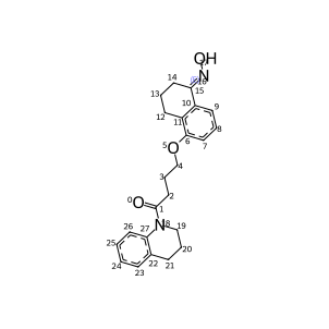 O=C(CCCOc1cccc2c1CCC/C2=N\O)N1CCCc2ccccc21